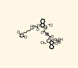 O=C(NCCCCCCN1C(=O)C=CC1=O)Oc1cc2c(c3ccccc13)[C@H](CCl)CN2C(=O)C12CC(C(=O)N3C[C@@H](CCl)c4c3cc(OP(=O)(O)O)c3ccccc43)(C1)C2